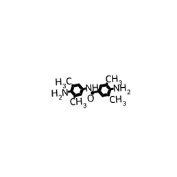 Cc1cc(NC(=O)c2cc(C)c(N)c(C)c2)cc(C)c1N